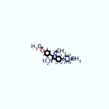 CCOc1ccc(-c2c(N)c3ccc(N4CCN(C)CC4)cc3n2CC)cc1